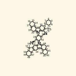 CC1(C)c2ccccc2-c2cc3c4c5ccccc5ccc4n(-c4cc(C#N)c(-n5c6cc7c(cc6c6c8ccccc8ccc65)-c5ccccc5C7(C)C)cc4C#N)c3cc21